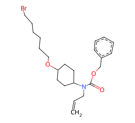 C=CCN(C(=O)OCc1ccccc1)C1CCC(OCCCCCCBr)CC1